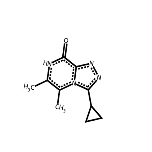 Cc1[nH]c(=O)c2nnc(C3CC3)n2c1C